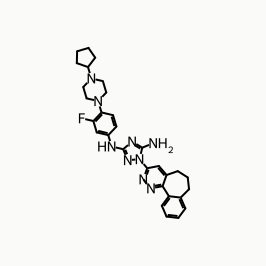 Nc1nc(Nc2ccc(N3CCN(C4CCCC4)CC3)c(F)c2)nn1-c1cc2c(nn1)-c1ccccc1CCC2